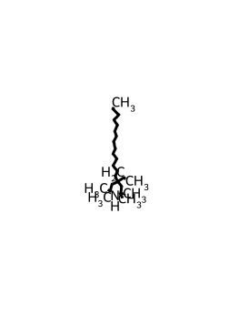 C=C(C)C1(CCCCCCCCCCCCCC)CC(C)(C)NC(C)(C)C1